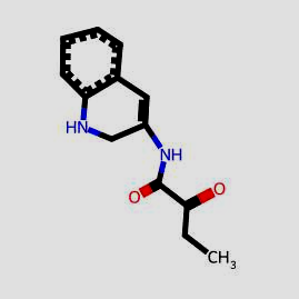 CCC(=O)C(=O)NC1=Cc2ccccc2NC1